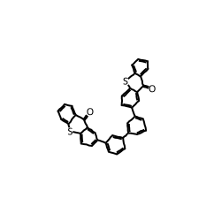 O=c1c2ccccc2sc2ccc(-c3cccc(-c4cccc(-c5ccc6sc7ccccc7c(=O)c6c5)c4)c3)cc12